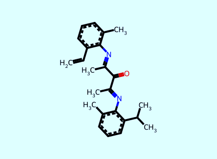 C=Cc1cccc(C)c1/N=C(\C)C(=O)/C(C)=N/c1c(C)cccc1C(C)C